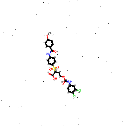 COc1ccc(C(=O)Nc2ccc(S(=O)(=O)C(CCOC(=O)Nc3ccc(Cl)c(Cl)c3)C(=O)O)cc2)cc1